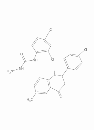 Cc1ccc2c(c1)C(=O)CC(c1ccc(Cl)cc1)N2.NNC(=O)Nc1ccc(Cl)cc1Cl